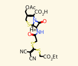 CCOC(=O)CSC(SCC(=O)N[C@@H]1C(=O)N2C(C(=O)O)=C(COC(C)=O)CS[C@H]12)=C(C#N)C#N